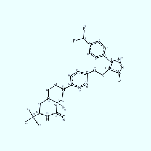 Cc1nnn(-c2ccc(C(F)F)cc2)c1COc1ccc(N2CCN3CC(C(C)(C)C)NC(=O)[C@@H]3C2)nn1